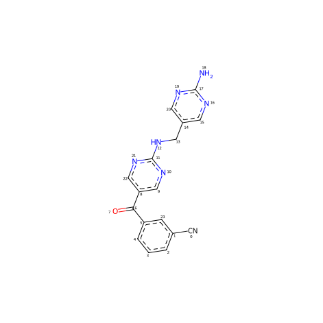 N#Cc1cccc(C(=O)c2cnc(NCc3cnc(N)nc3)nc2)c1